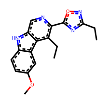 CCc1noc(-c2ncc3[nH]c4ccc(OC)cc4c3c2CC)n1